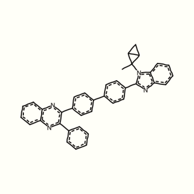 CC1(n2c(-c3ccc(-c4ccc(-c5nc6ccccc6nc5-c5ccccc5)cc4)cc3)nc3ccccc32)C2CC21